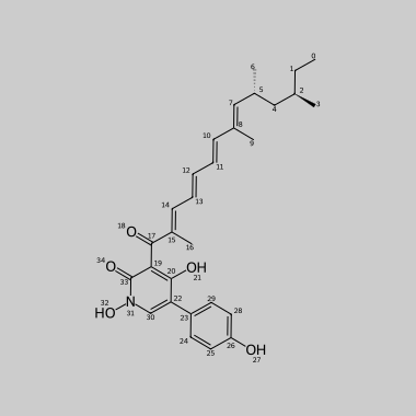 CC[C@@H](C)C[C@@H](C)/C=C(C)/C=C/C=C/C=C(\C)C(=O)c1c(O)c(-c2ccc(O)cc2)cn(O)c1=O